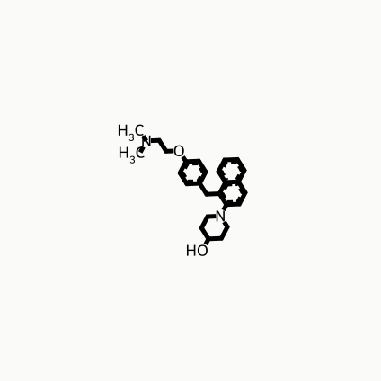 CN(C)CCOc1ccc(Cc2c(N3CCC(O)CC3)ccc3ccccc23)cc1